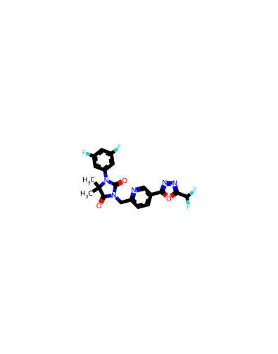 CC1(C)C(=O)N(Cc2ccc(-c3nnc(C(F)F)o3)cn2)C(=O)N1c1cc(F)cc(F)c1